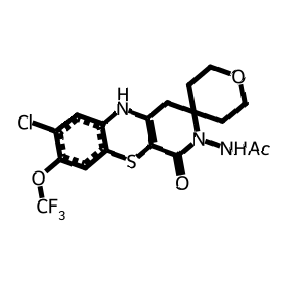 CC(=O)NN1C(=O)C2=C(CC13CCOCC3)Nc1cc(Cl)c(OC(F)(F)F)cc1S2